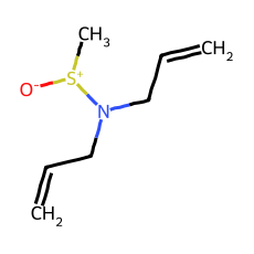 C=CCN(CC=C)[S+](C)[O-]